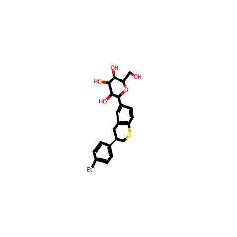 CCc1ccc([C@@H]2CSc3ccc(C4OC(CO)C(O)C(O)C4O)cc3C2)cc1